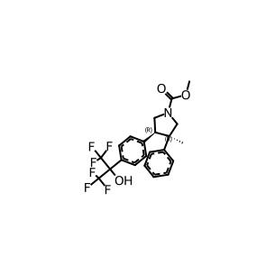 COC(=O)N1C[C@H](c2ccc(C(O)(C(F)(F)F)C(F)(F)F)cc2)[C@](C)(c2ccccc2)C1